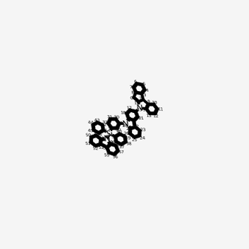 C1=C2C(c3ccccc31)c1ccccc1N2c1ccc2c(c1)c1ccccc1n2-c1cccc([Si](c2ccccc2)(c2ccccc2)n2c3ccccc3c3ccccc32)c1